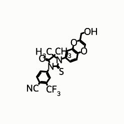 CC1(C)C(=O)N(c2ccc(C#N)c(C(F)(F)F)c2)C(=S)N1c1ccc2c(c1)OC(CO)=CO2